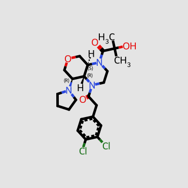 CC(C)(O)C(=O)N1CCN(C(=O)Cc2ccc(Cl)c(Cl)c2)[C@H]2[C@H]1COC[C@@H]2N1CCCC1